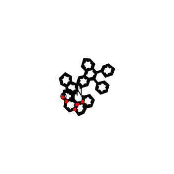 c1ccc(-c2ccccc2N(c2ccc3c(c2)c(-c2ccccc2)c(-c2ccccc2)c2ccccc23)c2ccccc2-c2cccc3oc4c5ccccc5ccc4c23)cc1